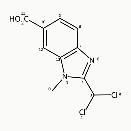 Cn1c(C(Cl)Cl)nc2ccc(C(=O)O)cc21